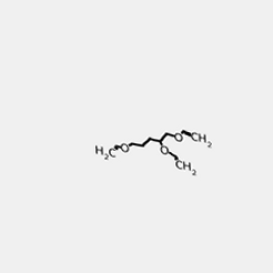 C=COCCCC(COC=C)OC=C